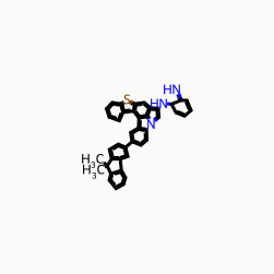 CC1(C)c2ccccc2-c2cc(-c3ccc4c(c3)c3c5c(cc6c(NC7C=CC=CC7=N)cn4c63)sc3ccccc35)ccc21